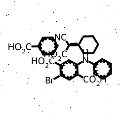 N#CC(C(=O)O)=C1CCCCC1.O=C(O)c1cc(Nc2ccccc2)c(C(=O)O)cc1Br.O=C(O)c1ccccc1